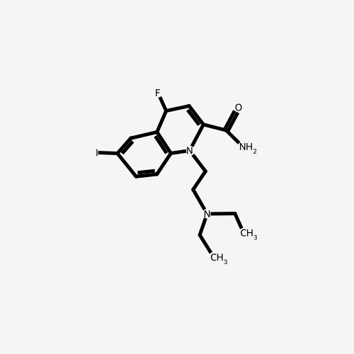 CCN(CC)CCN1C(C(N)=O)=CC(F)c2cc(I)ccc21